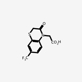 O=C(O)CN1C(=O)CSc2cc(C(F)(F)F)ccc21